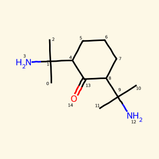 CC(C)(N)C1CCCC(C(C)(C)N)C1=O